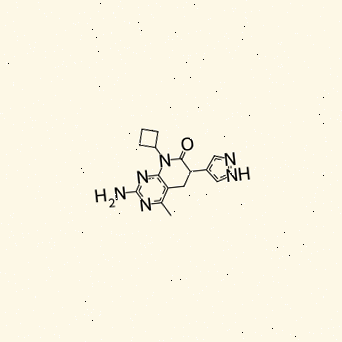 Cc1nc(N)nc2c1CC(c1cn[nH]c1)C(=O)N2C1CCC1